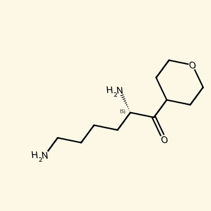 NCCCC[C@H](N)C(=O)C1CCOCC1